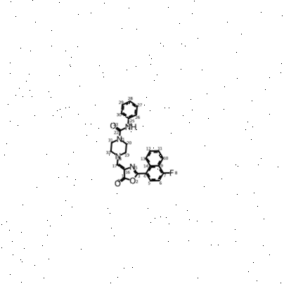 O=C1OC(c2ccc(F)c3ccccc23)=NC1=CN1CCN(C(=O)Nc2ccccc2)CC1